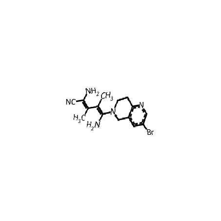 CC(=C(/N)C#N)/C(C)=C(\N)N1CCc2ncc(Br)cc2C1